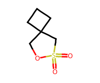 O=S1(=O)CC2(CCC2)CO1